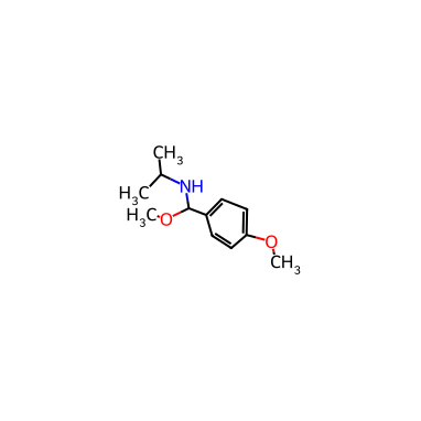 COc1ccc(C(NC(C)C)OC)cc1